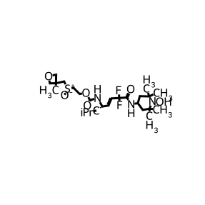 CC(C)C[C@@H](/C=C/C(F)(F)C(=O)NC1CC(C)(C)N(O)C(C)(C)C1)NC(=O)OCC[S+]([O-])CC1(C)COC1